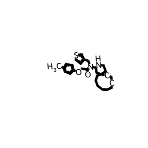 Cc1ccc(OCC(=O)N(Cc2ccsc2)C2CC3(CCCCCCCCC3)CCN2)cc1